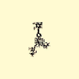 C[C@H](NC(=O)OC(C)(C)C)C(=O)NC(CCCCNC(=O)OC(C)(C)C)C(=O)Nc1ccc(C#Cc2c(F)c(F)nc(F)c2F)cc1